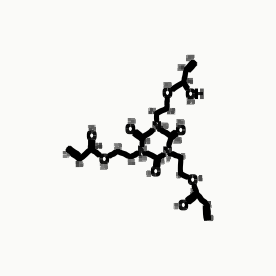 C=CC(=O)OCCn1c(=O)n(CCOC(=O)C=C)c(=O)n(CCOC(O)C=C)c1=O